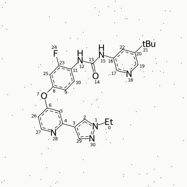 CCn1cc(-c2cc(Oc3ccc(NC(=O)Nc4cncc(C(C)(C)C)c4)c(F)c3)ccn2)cn1